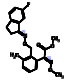 CO/N=C(/C(=O)OC)c1cccc(C)c1CO/N=C1\CCc2ccc(F)cc21